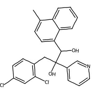 Cc1ccc(C(O)C(O)(Cc2ccc(Cl)cc2Cl)c2cccnc2)c2ccccc12